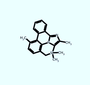 Cc1nc2c3ccccc3c3c(C)ccc4c3n2c1[Si](C)(C)C4